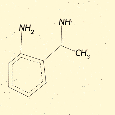 CC([NH])c1ccccc1N